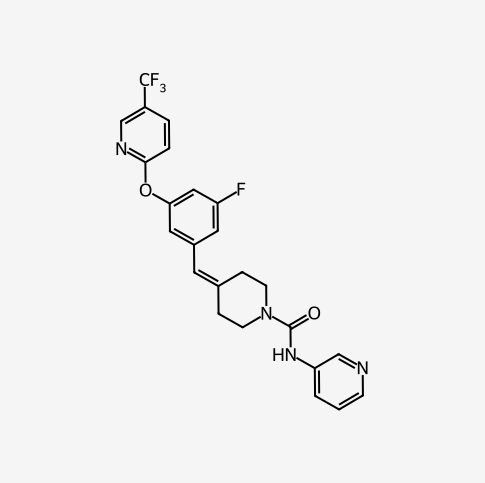 O=C(Nc1cccnc1)N1CCC(=Cc2cc(F)cc(Oc3ccc(C(F)(F)F)cn3)c2)CC1